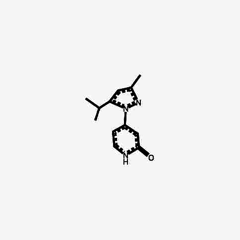 Cc1cc(C(C)C)n(-c2cc[nH]c(=O)c2)n1